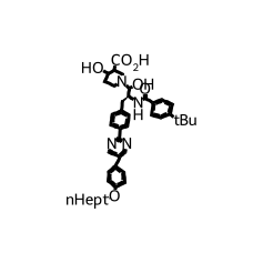 CCCCCCCOc1ccc(-c2cnc(-c3ccc(C[C@H](NC(=O)c4ccc(C(C)(C)C)cc4)C(O)N4CCC(O)C(C(=O)O)C4)cc3)nc2)cc1